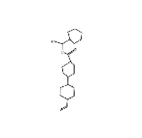 C=CC1CCC(C2CCC(C(=O)OC(CC)C3CCCCC3)CC2)CC1